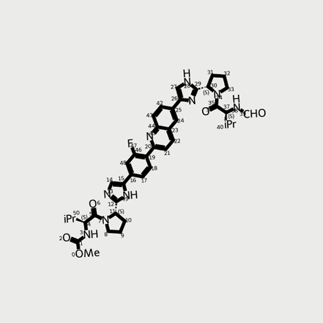 COC(=O)N[C@H](C(=O)N1CCC[C@H]1c1ncc(-c2ccc(-c3ccc4cc(-c5c[nH]c([C@@H]6CCCN6C(=O)[C@@H](NC=O)C(C)C)n5)ccc4n3)c(F)c2)[nH]1)C(C)C